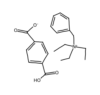 CC[N+](CC)(CC)Cc1ccccc1.O=C([O-])c1ccc(C(=O)O)cc1